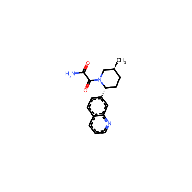 C[C@H]1CC[C@H](c2ccc3cccnc3c2)N(C(=O)C(N)=O)C1